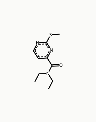 CCN(CC)C(=O)c1ccnc(SC)n1